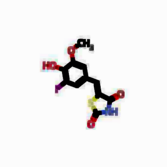 COc1cc(/C=C2\SC(=O)NC2=O)cc(I)c1O